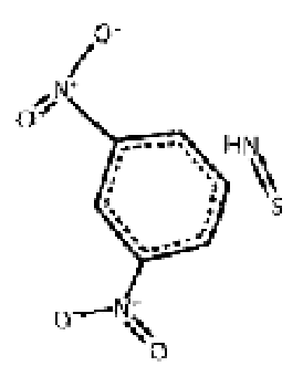 N=S.O=[N+]([O-])c1cccc([N+](=O)[O-])c1